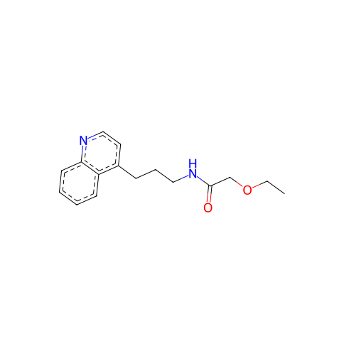 CCOCC(=O)NCCCc1ccnc2ccccc12